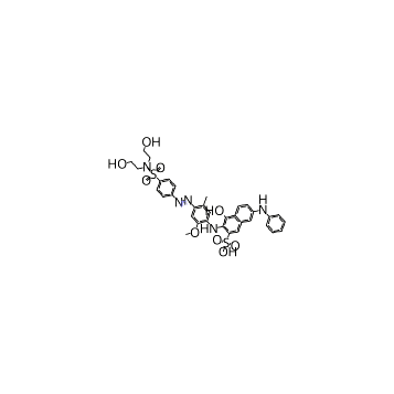 COc1cc(/N=N/c2ccc(S(=O)(=O)N(CCO)CCO)cc2)c(C)cc1Nc1c(S(=O)(=O)O)cc2cc(Nc3ccccc3)ccc2c1O